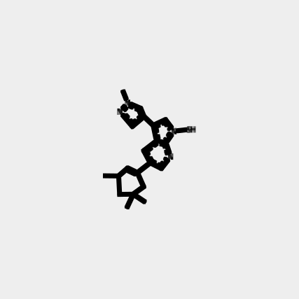 CC1C=C(c2cnc3c(c2)c(-c2cnn(C)c2)cn3S)CC(C)(C)C1